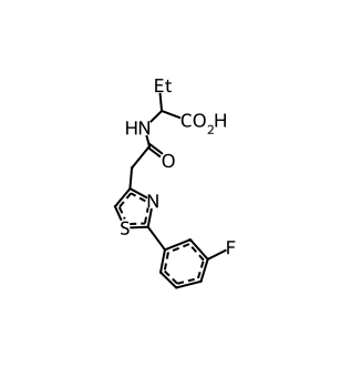 CCC(NC(=O)Cc1csc(-c2cccc(F)c2)n1)C(=O)O